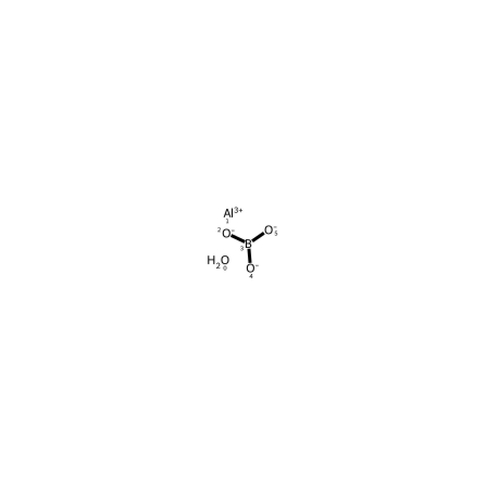 O.[Al+3].[O-]B([O-])[O-]